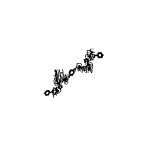 CNC(=O)N[C@@H](CCC(=O)NCc1ccc(CNC(=O)CC[C@H](NC(=O)[C@H](C)NC)C(=O)N2CCC[C@H]2CN(CCc2ccccc2)C(=O)C(F)(F)F)cc1)C(=O)N1CCC[C@H]1CN(CCc1ccccc1)C(=O)C(F)(F)F